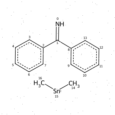 N=C(c1ccccc1)c1ccccc1.[CH3][Sn][CH3]